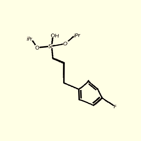 CC(C)O[Si](O)(CCCc1ccc(F)cc1)OC(C)C